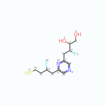 OCC(O)C(F)Cc1cncc(CC(F)CCS)n1